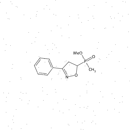 COP(C)(=O)C1CC(c2ccccc2)=NO1